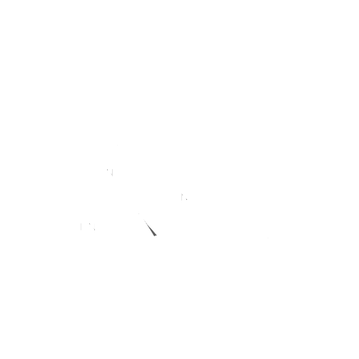 IC12Nc3ccccc3[C@]13CCN(Cc1ccccc1)[C@@H]3C1C(c3ccccc3)[N@]12